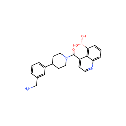 NCc1cccc(C2CCN(C(=O)c3ccnc4cccc(B(O)O)c34)CC2)c1